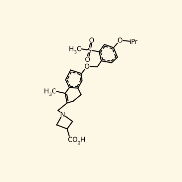 CC1=C(CN2CC(C(=O)O)C2)CCc2cc(OCc3ccc(OC(C)C)cc3S(C)(=O)=O)ccc21